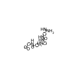 COC(=O)c1cccc(NC(=O)c2ccc(C(C)Nc3ccccc3NC(=O)Nc3ccc(C(=N)N)cc3)cc2)c1